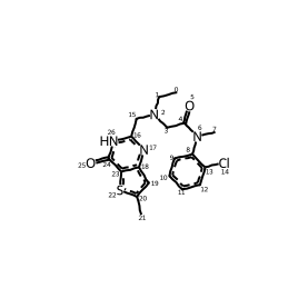 CCN(CC(=O)N(C)c1ccccc1Cl)Cc1nc2cc(C)sc2c(=O)[nH]1